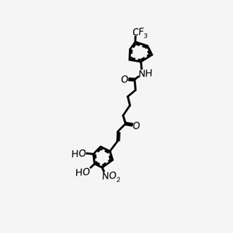 O=C(/C=C/c1cc(O)c(O)c([N+](=O)[O-])c1)CCCCC(=O)Nc1ccc(C(F)(F)F)cc1